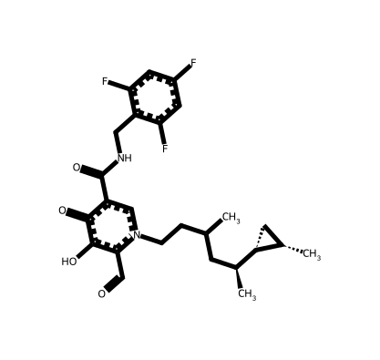 CC(CCn1cc(C(=O)NCc2c(F)cc(F)cc2F)c(=O)c(O)c1C=O)C[C@H](C)[C@@H]1C[C@@H]1C